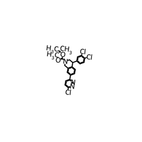 CC(C)(C)OC(=O)N1Cc2cc(-c3ccc(Cl)nn3)ccc2C(c2ccc(Cl)c(Cl)c2)C1